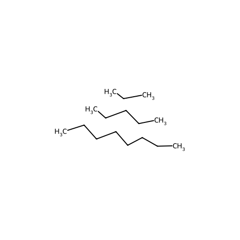 CCC.CCCCC.CCCCCCCC